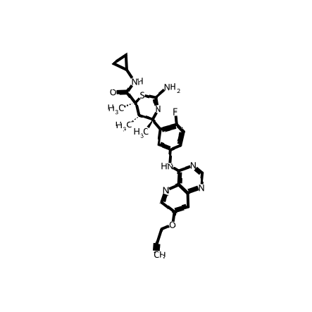 C#CCOc1cnc2c(Nc3ccc(F)c([C@@]4(C)N=C(N)S[C@](C)(C(=O)NC5CC5)[C@H]4C)c3)ncnc2c1